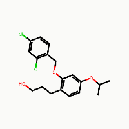 CC(C)Oc1ccc(CCCO)c(OCc2ccc(Cl)cc2Cl)c1